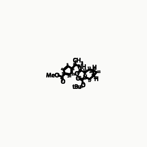 COC(=O)c1ccc([C@H](C)NC(=O)[C@H]2C[C@H]3C[C@H]3CN2C(=O)OC(C)(C)C)cc1